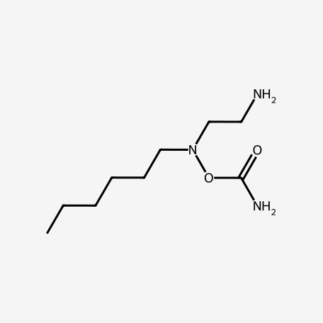 CCCCCCN(CCN)OC(N)=O